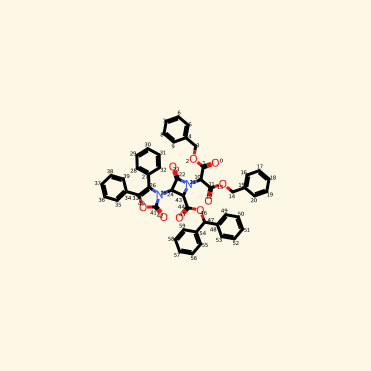 O=C(OCc1ccccc1)C(C(=O)OCc1ccccc1)N1C(=O)C(n2c(-c3ccccc3)c(-c3ccccc3)oc2=O)C1C(=O)OC(c1ccccc1)c1ccccc1